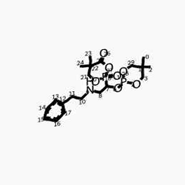 CC1(C)COP(OC(CNCCc2ccccc2)P2(=O)OCC(C)(C)C(=O)O2)OC1